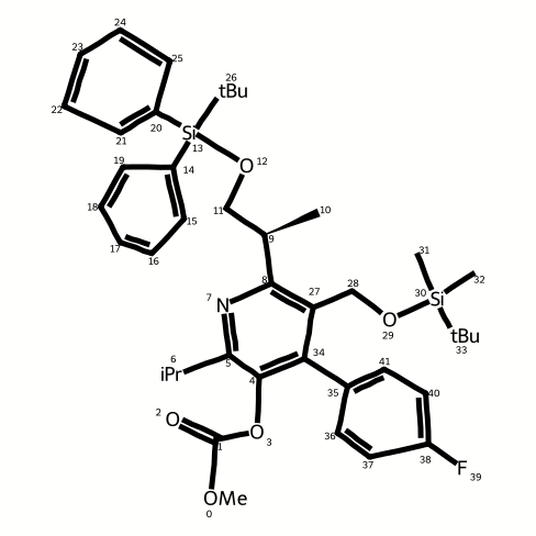 COC(=O)Oc1c(C(C)C)nc([C@H](C)CO[Si](c2ccccc2)(c2ccccc2)C(C)(C)C)c(CO[Si](C)(C)C(C)(C)C)c1-c1ccc(F)cc1